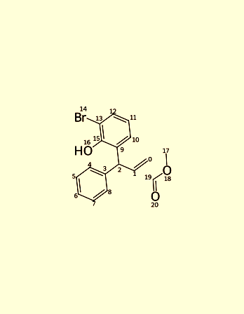 C=CC(c1ccccc1)c1cccc(Br)c1O.COC=O